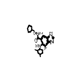 Cc1ccc(Nc2c(C(=O)NOCc3ccccc3)cc3[nH]cnc3c2F)c(C)c1